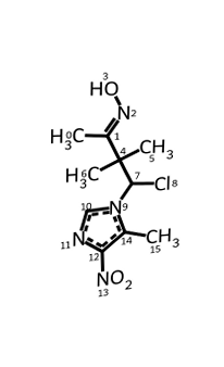 CC(=NO)C(C)(C)C(Cl)n1cnc([N+](=O)[O-])c1C